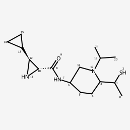 CC(S)C1CCC(NC(=O)[C@@H]2N[C@H]2C2CC2)CN1C(C)C